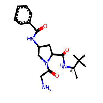 C[C@@H](NC(=O)C1CC(NC(=O)c2ccccc2)CN1C(=O)CN)C(C)(C)C